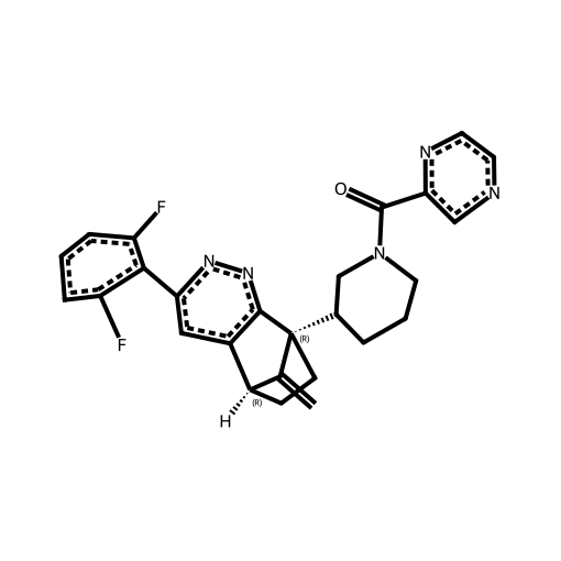 C=C1[C@H]2CC[C@]1(C1CCCN(C(=O)c3cnccn3)C1)c1nnc(-c3c(F)cccc3F)cc12